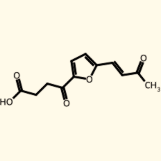 CC(=O)/C=C/c1ccc(C(=O)CCC(=O)O)o1